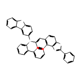 c1ccc(-c2nc3c(ccc4cc(N(c5ccc6oc7ccccc7c6c5)c5ccccc5-c5ccccc5)ccc43)o2)cc1